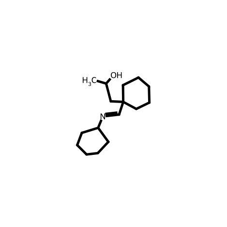 CC(O)CC1(/C=N/C2CCCCC2)CCCCC1